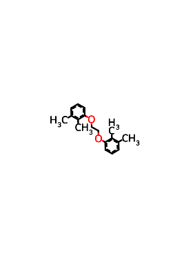 Cc1cccc(OCCOc2cccc(C)c2C)c1C